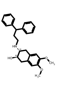 COc1cc2c(cc1OC)C[C@@H](NCCC(c1ccccc1)c1ccccc1)[C@H](O)C2